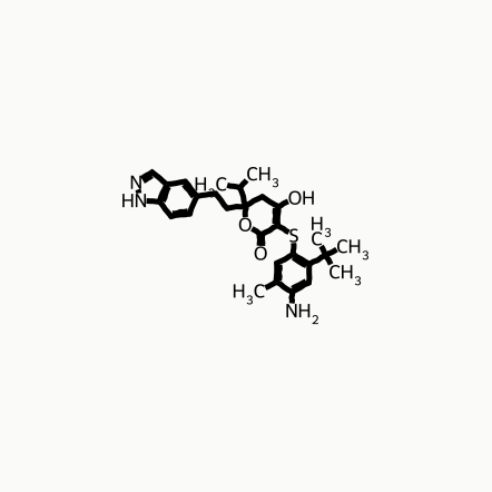 Cc1cc(SC2=C(O)CC(CCc3ccc4[nH]ncc4c3)(C(C)C)OC2=O)c(C(C)(C)C)cc1N